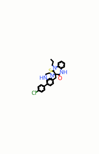 CCCN1C(=S)C(Cc2ccc(-c3ccc(Cl)cc3)cc2)(N2CCNCC2)C(=O)Nc2ccccc21